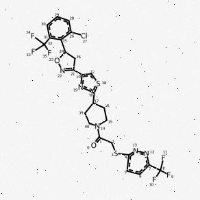 O=C(CSc1ccc(C(F)(F)F)nn1)N1CCC(c2nc(C3=NOC(c4c(Cl)cccc4C(F)(F)F)C3)cs2)CC1